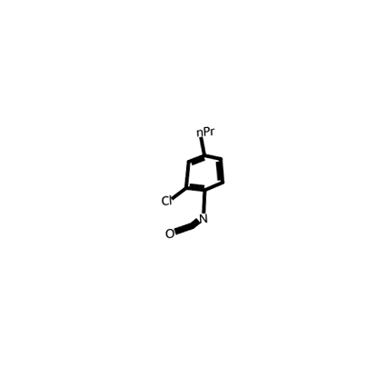 CCCc1ccc(N=C=O)c(Cl)c1